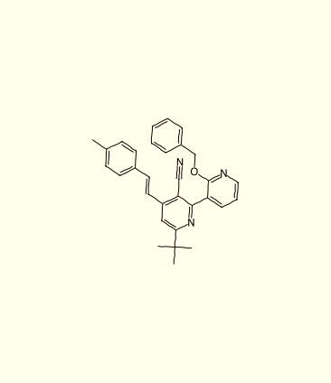 Cc1ccc(C=Cc2cc(C(C)(C)C)nc(-c3cccnc3OCc3ccccc3)c2C#N)cc1